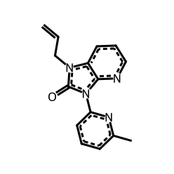 C=CCn1c(=O)n(-c2cccc(C)n2)c2ncccc21